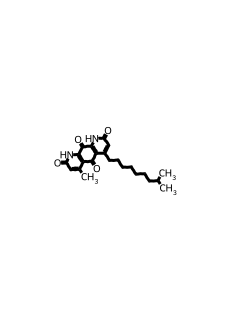 Cc1cc(=O)[nH]c2c1C(=O)c1c(CCCCCCCC(C)C)cc(=O)[nH]c1C2=O